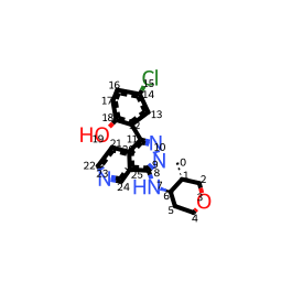 C[C@@H]1COCC[C@H]1Nc1nnc(-c2cc(Cl)ccc2O)c2ccncc12